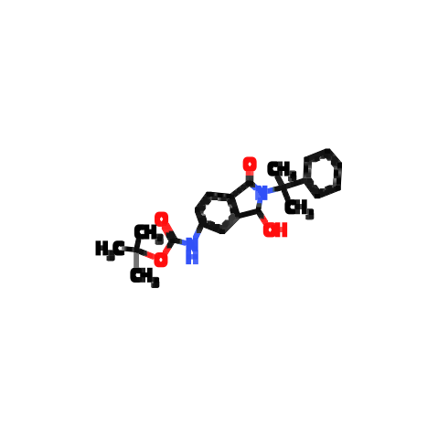 CC(C)(C)OC(=O)Nc1ccc2c(c1)C(O)N(C(C)(C)c1ccccc1)C2=O